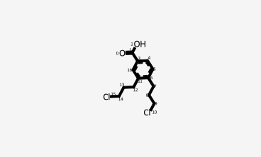 O=C(O)c1ccc(CCCCl)c(CCCCl)c1